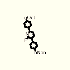 CCCCCCCCCc1ccc(-c2ccc(-c3ccc(CCCCCCCC)cc3)nc2F)cc1